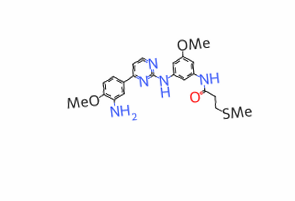 COc1cc(NC(=O)CCSC)cc(Nc2nccc(-c3ccc(OC)c(N)c3)n2)c1